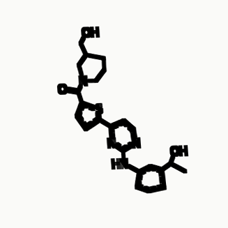 CC(O)c1cccc(Nc2nccc(-c3ccc(C(=O)N4CCCC(CO)C4)s3)n2)c1